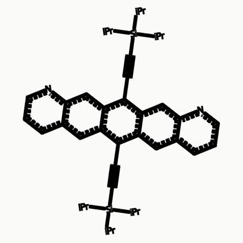 CC(C)[Si](C#Cc1c2cc3cccnc3cc2c(C#C[Si](C(C)C)(C(C)C)C(C)C)c2cc3ncccc3cc12)(C(C)C)C(C)C